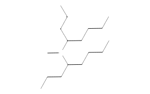 CCCCC(CCC)P(C)C(CCC)CCCC